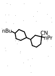 CCCCC1CCC(C2CCCC(C#N)(CCC)C2)CC1